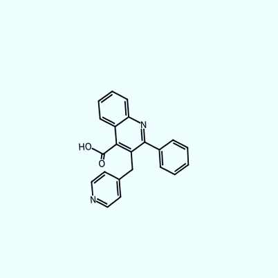 O=C(O)c1c(Cc2ccncc2)c(-c2ccccc2)nc2ccccc12